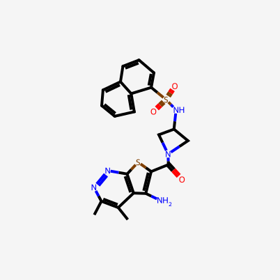 Cc1nnc2sc(C(=O)N3CC(NS(=O)(=O)c4cccc5ccccc45)C3)c(N)c2c1C